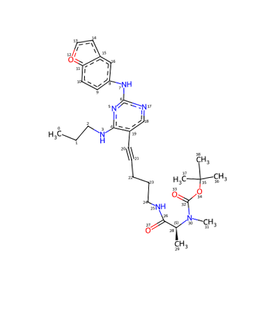 CCCNc1nc(Nc2ccc3occc3c2)ncc1C#CCCCNC(=O)[C@H](C)N(C)C(=O)OC(C)(C)C